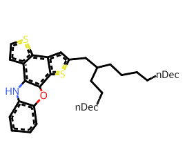 CCCCCCCCCCCCCCC(CCCCCCCCCCCC)Cc1cc2c(s1)c1c(c3ccsc32)Nc2ccccc2O1